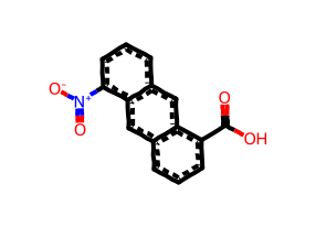 O=C(O)c1cccc2cc3c([N+](=O)[O-])cccc3cc12